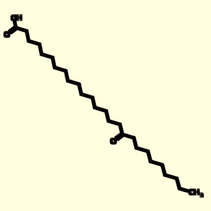 CCCCCCCCCC(=O)CCCCCCCCCCCCCCCC(=O)O